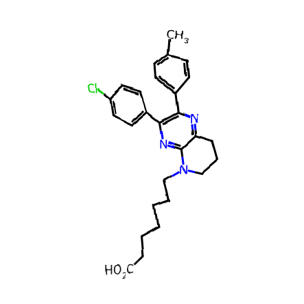 Cc1ccc(-c2nc3c(nc2-c2ccc(Cl)cc2)N(CCCCCCC(=O)O)CCC3)cc1